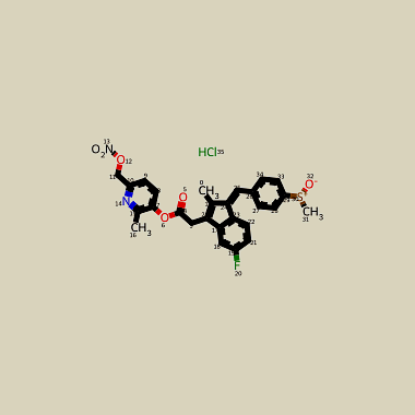 CC1=C(CC(=O)Oc2ccc(CO[N+](=O)[O-])nc2C)c2cc(F)ccc2/C1=C\c1ccc([S+](C)[O-])cc1.Cl